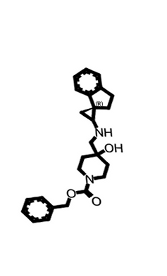 O=C(OCc1ccccc1)N1CCC(O)(CNC2C[C@@]23CCc2ccccc23)CC1